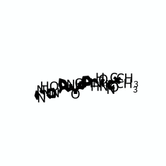 CC(C)(C)c1cc(NC(=O)NCc2ccc3oc(C(=O)c4cc5c(CN6CCN(c7ncccn7)CC6)c(O)ccc5[nH]4)cc3c2)no1